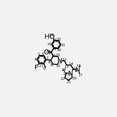 Cc1c(F)cccc1C1[CH]CN(CCCC(N(C)C)N2CCC[C@H]2C)CC1C(=O)c1cccc(O)c1